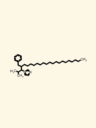 CCCCCCCCCCCCCCCCCCCC(Cc1ccccc1)C(C(C)C)n1ccnc1